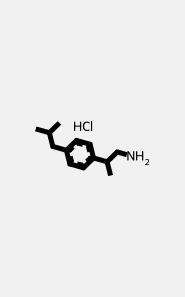 CC(C)Cc1ccc(C(C)CN)cc1.Cl